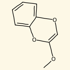 COC1=COc2ccccc2O1